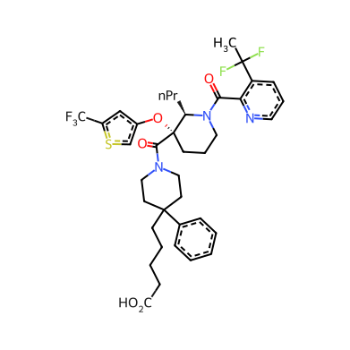 CCC[C@H]1N(C(=O)c2ncccc2C(C)(F)F)CCC[C@@]1(Oc1csc(C(F)(F)F)c1)C(=O)N1CCC(CCCCC(=O)O)(c2ccccc2)CC1